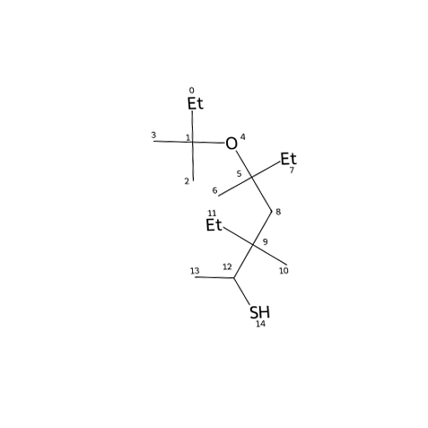 CCC(C)(C)OC(C)(CC)CC(C)(CC)C(C)S